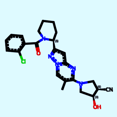 Cc1cn2nc([C@@H]3CCCCN3C(=O)c3ccccc3Cl)cc2nc1N1C[C@@H](C#N)[C@@H](O)C1